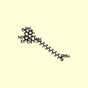 CCc1c(C#N)c(SC(C(N)=O)c2ccccc2)nc(N2CCC(NCCCCCCCCCCCCCCCC(=O)OC(C)(C)C)CC2)c1C#N